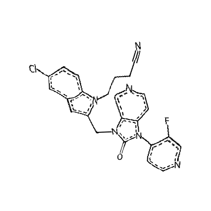 N#CCCCn1c(Cn2c(=O)n(-c3ccncc3F)c3ccncc32)cc2cc(Cl)ccc21